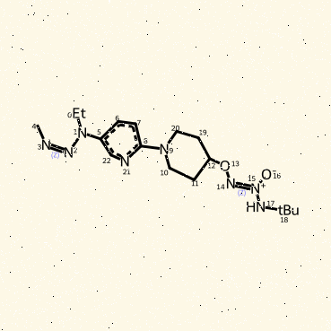 CCN(/N=N\C)c1ccc(N2CCC(O/N=[N+](\[O-])NC(C)(C)C)CC2)nc1